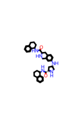 O=C(NC1CCCc2ccccc21)C1Cc2ccc(N[C@@H]3CN[C@H](C(=O)N[C@@H]4CCCc5ccccc54)C3)cc2CN1